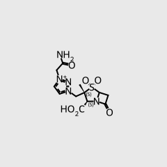 C[C@]1(Cn2cc[n+](CC(N)=O)n2)[C@H](C(=O)O)N2C(=O)CC2S1(=O)=O